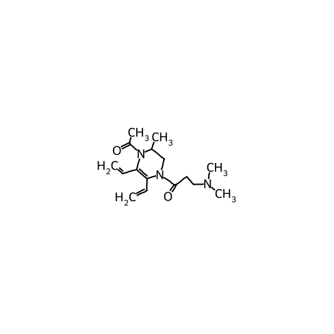 C=CC1=C(C=C)N(C(C)=O)C(C)CN1C(=O)CCN(C)C